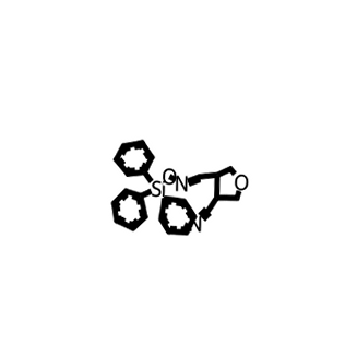 N#CC1COCC1C=NO[Si](c1ccccc1)(c1ccccc1)c1ccccc1